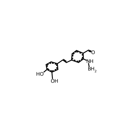 BNc1cc(/C=C/c2ccc(O)c(O)c2)ccc1C=O